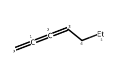 C=C=C=CCCC